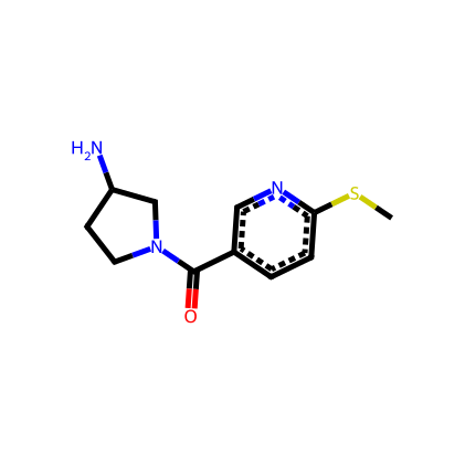 CSc1ccc(C(=O)N2CCC(N)C2)cn1